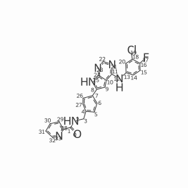 O=C(NCc1ccc(-c2cc3c(Nc4ccc(F)c(Cl)c4)ncnc3[nH]2)cc1)c1ccccn1